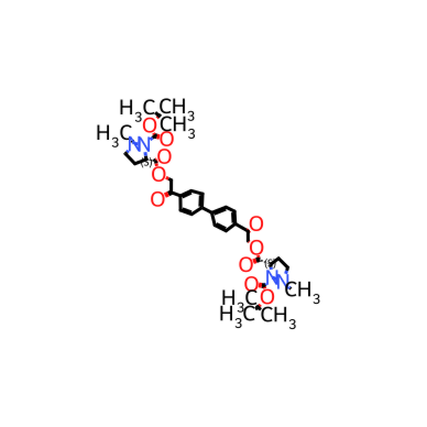 CN1CC[C@@H](C(=O)OCC(=O)c2ccc(-c3ccc(C(=O)COC(=O)[C@@H]4CCN(C)N4C(=O)OC(C)(C)C)cc3)cc2)N1C(=O)OC(C)(C)C